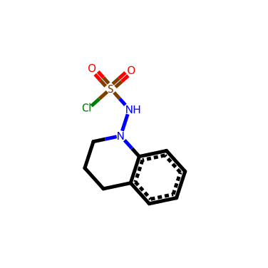 O=S(=O)(Cl)NN1CCCc2ccccc21